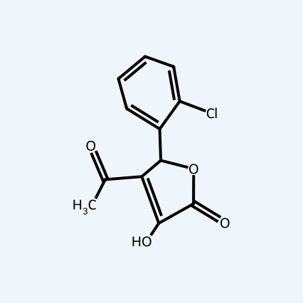 CC(=O)C1=C(O)C(=O)OC1c1ccccc1Cl